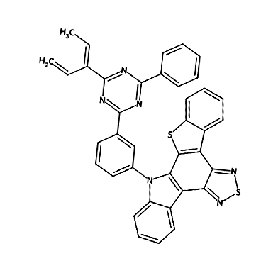 C=C/C(=C\C)c1nc(-c2ccccc2)nc(-c2cccc(-n3c4ccccc4c4c5nsnc5c5c6ccccc6sc5c43)c2)n1